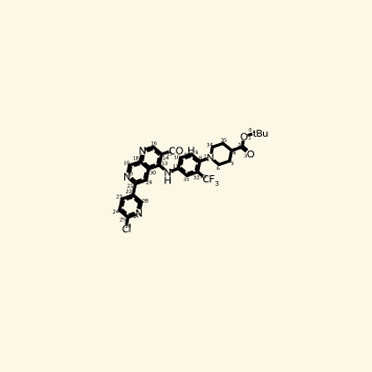 CC(C)(C)OC(=O)C1CCN(c2ccc(Nc3c(C(=O)O)cnc4cnc(-c5ccc(Cl)nc5)cc34)cc2C(F)(F)F)CC1